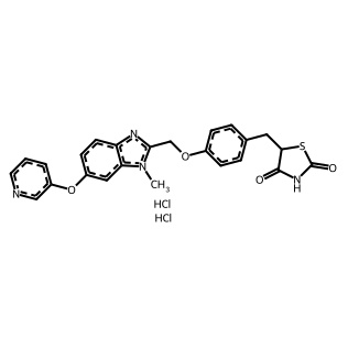 Cl.Cl.Cn1c(COc2ccc(CC3SC(=O)NC3=O)cc2)nc2ccc(Oc3cccnc3)cc21